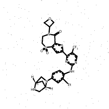 CCc1cc(N2C[C@@H]3C[C@H]2CN3)ccc1Nc1ncc(C(F)(F)F)c(-c2cc3c(s2)C(=O)N(C2COC2)CCS3(=O)=O)n1